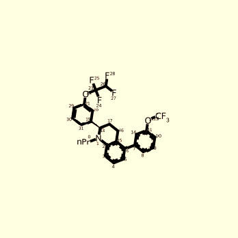 CCCN1c2cccc(-c3cccc(OC(F)(F)F)c3)c2CC[C@@H]1C1C=C(OC(F)(F)C(F)F)C=CC1